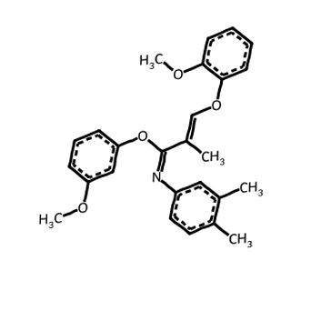 COc1cccc(OC(=Nc2ccc(C)c(C)c2)C(C)=COc2ccccc2OC)c1